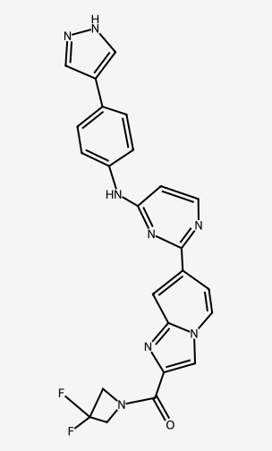 O=C(c1cn2ccc(-c3nccc(Nc4ccc(-c5cn[nH]c5)cc4)n3)cc2n1)N1CC(F)(F)C1